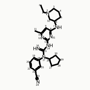 CCN1CCCC(Nc2cc(C)nc(NC(=N)N(c3cccc(C#N)c3)C3CCCC3)n2)C1